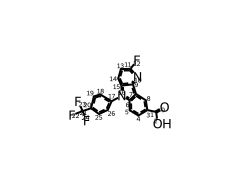 O=C(O)c1ccc2c(c1)c1nc(F)ccc1n2-c1ccc(C(F)(F)F)cc1